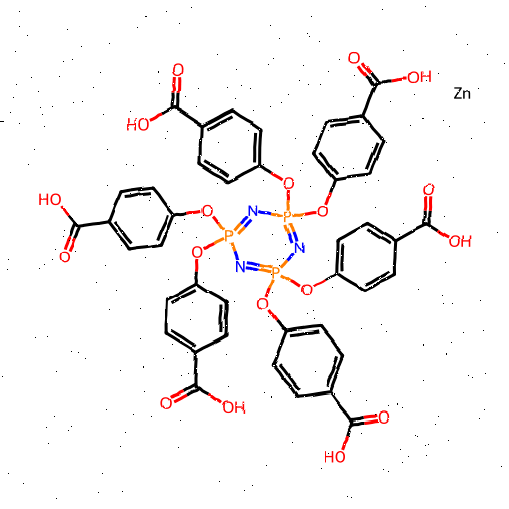 O=C(O)c1ccc(OP2(Oc3ccc(C(=O)O)cc3)=NP(Oc3ccc(C(=O)O)cc3)(Oc3ccc(C(=O)O)cc3)=NP(Oc3ccc(C(=O)O)cc3)(Oc3ccc(C(=O)O)cc3)=N2)cc1.[Zn]